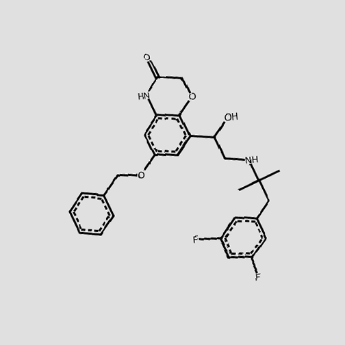 CC(C)(Cc1cc(F)cc(F)c1)NCC(O)c1cc(OCc2ccccc2)cc2c1OCC(=O)N2